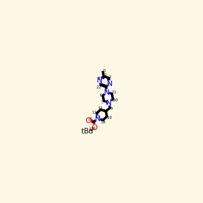 Cc1cnc(N2CCN(CC3CCN(C(=O)OC(C)(C)C)CC3)CC2)cn1